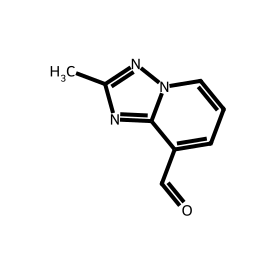 Cc1nc2c(C=O)cccn2n1